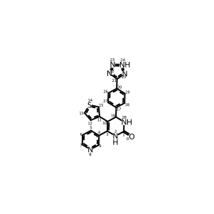 O=C1NC(c2cccnc2)=C(c2ccsc2)C(c2ccc(-c3nn[nH]n3)cc2)N1